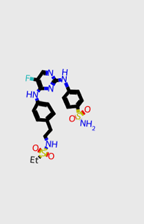 CCS(=O)(=O)NCCc1ccc(Nc2nc(Nc3ccc(S(N)(=O)=O)cc3)ncc2F)cc1